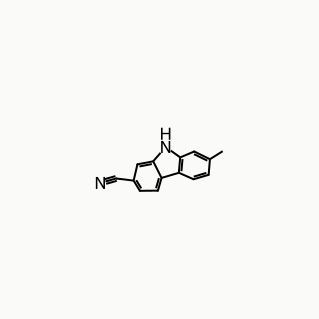 Cc1ccc2c(c1)[nH]c1cc(C#N)ccc12